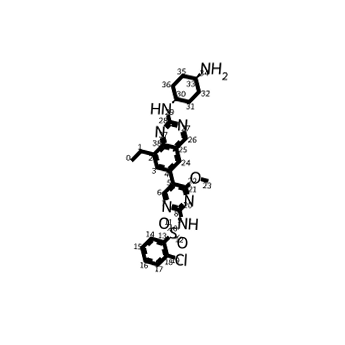 CCc1cc(-c2cnc(NS(=O)(=O)c3ccccc3Cl)nc2OC)cc2cnc(N[C@H]3CC[C@H](N)CC3)nc12